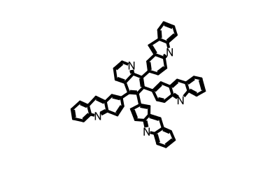 c1ccc2nc3ccc(-c4c(-c5ccc6nc7ccccc7cc6c5)c(-c5ccc6nc7ccccc7cc6c5)c5ncccc5c4-c4ccc5nc6ccccc6cc5c4)cc3cc2c1